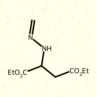 C=NNC(CC(=O)OCC)C(=O)OCC